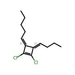 CCC/C=C1C(Cl)=C(Cl)C\1=C\CCCC